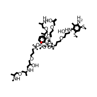 C=C(O)COCCC[SiH](NC(C)COCC(C)N)O[Si](O[Si](C)(C)CCCOCC(O)CNc1c(SC)cc(SC)c(N)c1C)(O[Si](C)(C)O[Si](C)(C)CCCOCC(O)CNC(C)COCC(C)NC)c1ccccc1